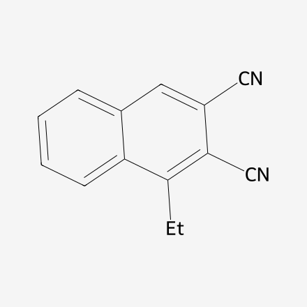 [CH2]Cc1c(C#N)c(C#N)cc2ccccc12